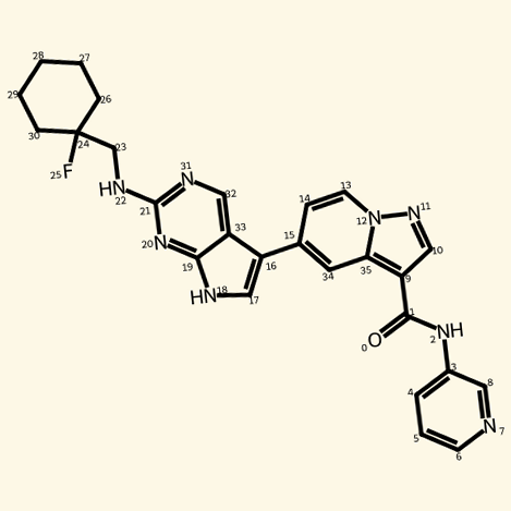 O=C(Nc1cccnc1)c1cnn2ccc(-c3c[nH]c4nc(NCC5(F)CCCCC5)ncc34)cc12